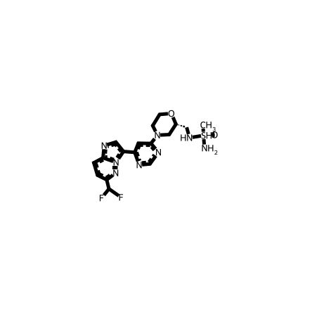 C[SH](N)(=O)NC[C@@H]1CN(c2cc(-c3cnc4ccc(C(F)F)nn34)ncn2)CCO1